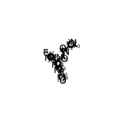 Cc1cc(-c2nc(C(=O)Nc3cc4sc(N5CCOCC5)nc4nc3-c3ccc(F)nc3)co2)ccn1